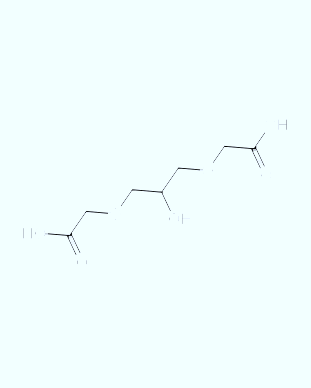 O=C(O)COCC(O)COCC(=O)O